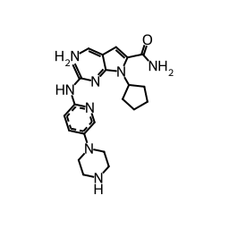 C=C(/N=C1\C(=C/N)C=C(C(N)=O)N1C1CCCC1)Nc1ccc(N2CCNCC2)cn1